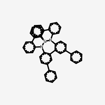 c1ccc(-c2ccc3c(c2)-c2cc(-c4ccccc4)ccc2N2c4ccccc4-c4ccccc4[Si]24c2ccccc2-c2ccccc2N34)cc1